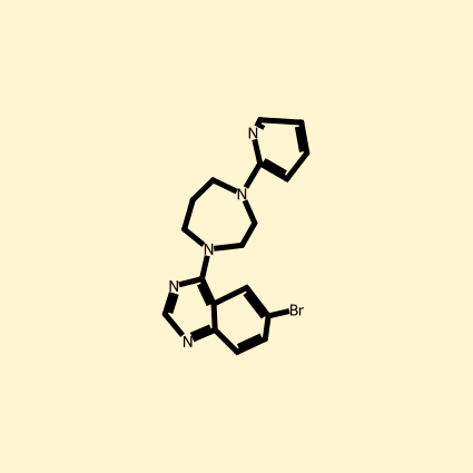 Brc1ccc2ncnc(N3CCCN(c4ccccn4)CC3)c2c1